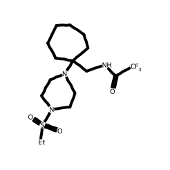 CCS(=O)(=O)N1CCN(C2(CNC(=O)C(F)(F)F)CCCCCC2)CC1